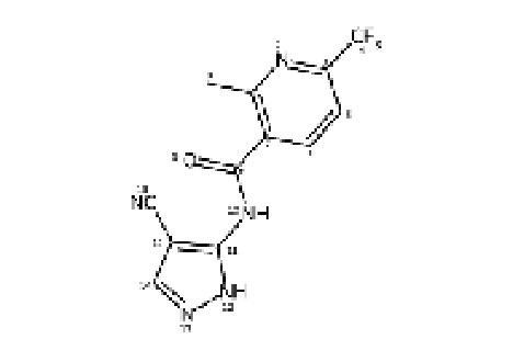 Cc1nc(C(F)(F)F)ccc1C(=O)Nc1[nH]ncc1C#N